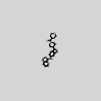 O=C(C1CCOCC1)N1CCC(c2nsc3cc(Nc4nnnc5cccnc45)ccc23)CC1